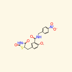 COc1ccc(CC2SC(=O)NC2=O)cc1C(=O)NCc1ccc([N+](=O)[O-])cc1